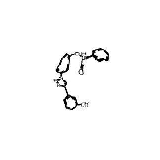 O=[PH](Oc1cccc(-n2cc(-c3cccc(O)c3)nn2)c1)c1ccccc1